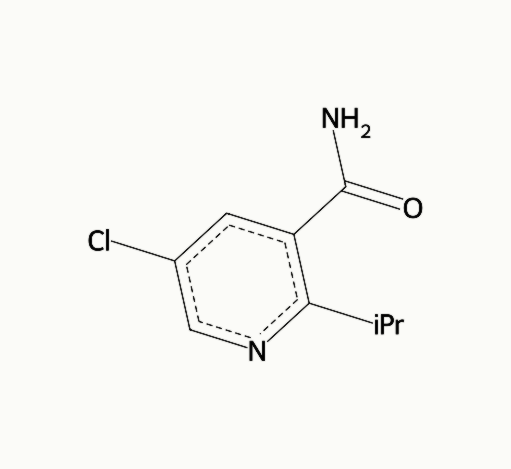 CC(C)c1ncc(Cl)cc1C(N)=O